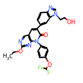 CCOc1ncc2cc(-c3ccc4ncn(CCO)c4c3)c(=O)n(-c3ccc(OC(F)F)cc3)c2n1